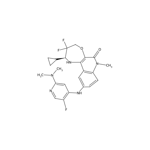 CN(C)c1cc(Nc2ccc3c(c2)c2c(c(=O)n3C)OCC(F)(F)[C@H](C3CC3)N2)c(F)cn1